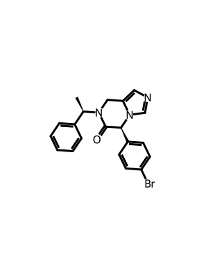 C[C@H](c1ccccc1)N1Cc2cncn2[C@@H](c2ccc(Br)cc2)C1=O